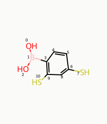 OB(O)c1ccc(S)cc1S